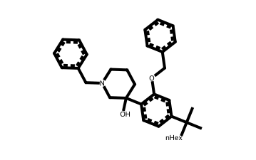 CCCCCCC(C)(C)c1ccc(C2(O)CCCN(Cc3ccccc3)C2)c(OCc2ccccc2)c1